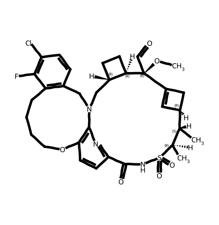 CO[C@@]1(C=O)C2=C[C@@H](C2)[C@H](C)[C@@H](C)S(=O)(=O)NC(=O)c2ccc3c(n2)N(Cc2ccc(Cl)c(F)c2CCCCO3)C[C@@H]2CC[C@H]21